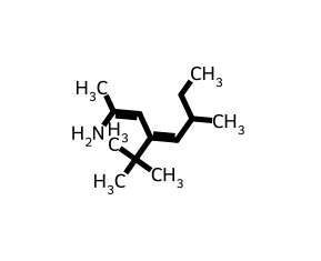 CCC(C)/C=C(\C=C(\C)N)C(C)(C)C